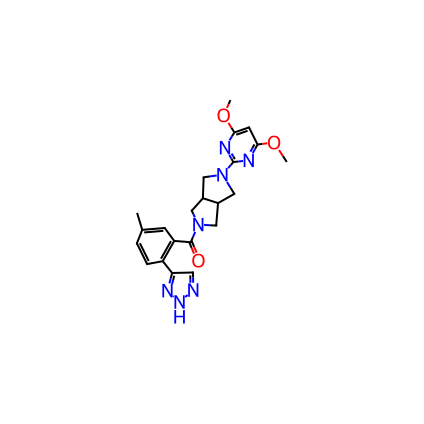 COc1cc(OC)nc(N2CC3CN(C(=O)c4cc(C)ccc4-c4cn[nH]n4)CC3C2)n1